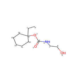 CCC1(OC(=O)NCCO)CCCCC1